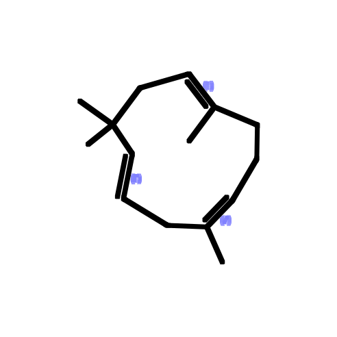 C/C1=C/CC/C(C)=C/CC(C)(C)/C=C/C1